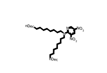 CCCCCCCCCCCCCCCCCCN(CCCCCCCCCCCCCCCCCC)c1ncc([N+](=O)[O-])cc1[N+](=O)[O-]